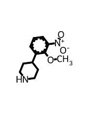 COc1c(C2CCNCC2)cccc1[N+](=O)[O-]